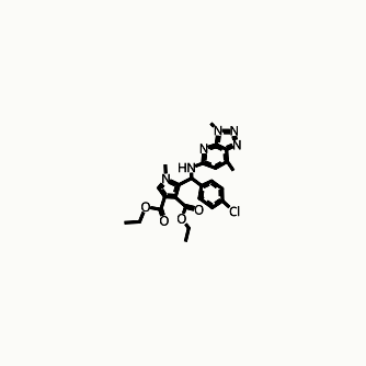 CCOC(=O)c1cn(C)c(C(Nc2cc(C)c3nnn(C)c3n2)c2ccc(Cl)cc2)c1C(=O)OCC